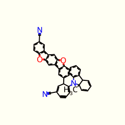 CC12C=CC=CC1c1ccccc1N2C1=CC#CC(C#N)=CC1c1ccc2oc3cc4c(cc3c2c1)oc1ccc(C#N)cc14